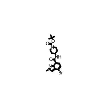 Cn1cc2c(Br)ccc(C(=O)NC3CCN(C(=O)OC(C)(C)C)CC3)c2n1